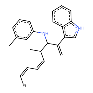 C=C(c1c[nH]c2ccccc12)C(Nc1cccc(C)c1)C(C)/C=C\C=C/CC